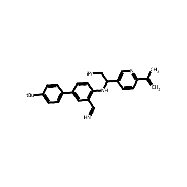 C=C(C)c1ccc(C(CC(C)C)Nc2ccc(-c3ccc(C(C)(C)C)cc3)cc2C=N)cn1